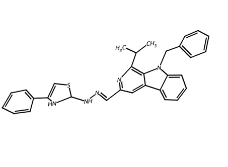 CC(C)c1nc(C=NNC2NC(c3ccccc3)=CS2)cc2c3ccccc3n(Cc3ccccc3)c12